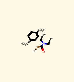 CCSC(=O)N(CC(C)C)CC(C)C.O=C(O)c1ccc(C(=O)O)cc1